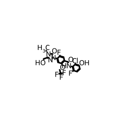 CCn1c(CO)nn(-c2cc(OCC(F)(F)F)c(C(=O)Nc3c(F)ccc(O)c3Cl)cc2F)c1=O